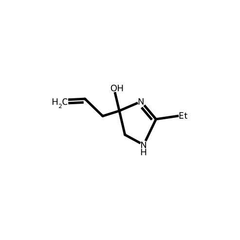 C=CCC1(O)CNC(CC)=N1